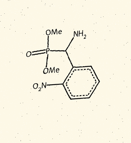 COP(=O)(OC)C(N)c1ccccc1[N+](=O)[O-]